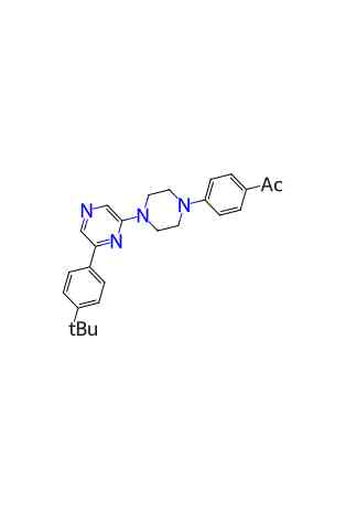 CC(=O)c1ccc(N2CCN(c3cncc(-c4ccc(C(C)(C)C)cc4)n3)CC2)cc1